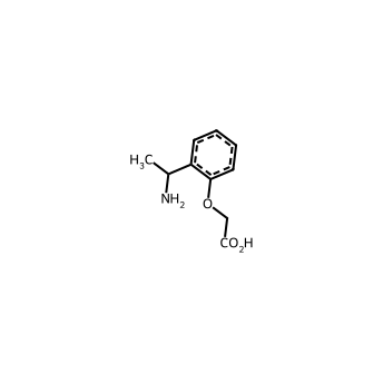 CC(N)c1ccccc1OCC(=O)O